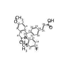 COc1ccc2c(c1)CC(C)N(c1ccc(F)cc1C)C2c1ccc(C=CC(=O)O)cc1